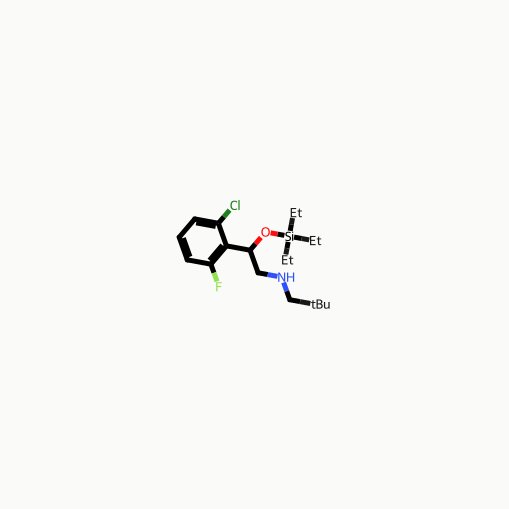 CC[Si](CC)(CC)OC(CNCC(C)(C)C)c1c(F)cccc1Cl